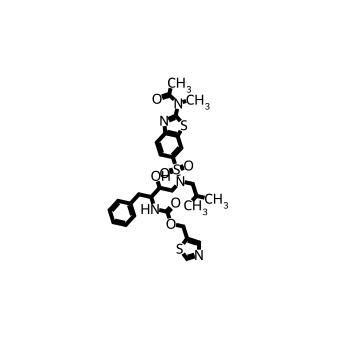 CC(=O)N(C)c1nc2ccc(S(=O)(=O)N(CC(C)C)CC(O)C(Cc3ccccc3)NC(=O)OCc3cncs3)cc2s1